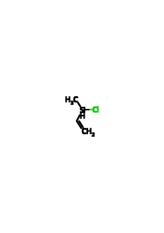 C=C[SiH](C)Cl